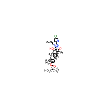 CNCCn1c(-c2ccc(Cl)cn2)nnc1[C@@H](O)[C@@]12CC[C@]3(C)[C@H](CC[C@@H]4[C@@]5(C)CC[C@H](OC(=O)CC(C)(C)C(=O)O)C(C)(C)[C@@H]5CC[C@]43C)C1=C(C(C)C)C(=O)C2